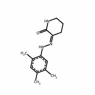 Cc1cc(C)c(NN=C2CCCNC2=O)cc1C